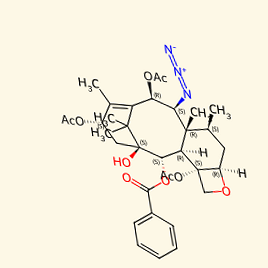 CC(=O)O[C@H]1C[C@@]2(O)[C@@H](OC(=O)c3ccccc3)[C@@H]3[C@]4(OC(C)=O)CO[C@@H]4C[C@H](C)[C@@]3(C)[C@H](N=[N+]=[N-])[C@H](OC(C)=O)C(=C1C)C2(C)C